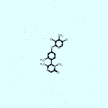 Cc1cc(Oc2ncc(Cl)c(C)c2Cl)ccc1-c1c(C)ncc(=O)n1C